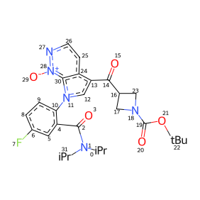 CC(C)N(C(=O)c1cc(F)ccc1-n1cc(C(=O)C2CN(C(=O)OC(C)(C)C)C2)c2ccn[n+]([O-])c21)C(C)C